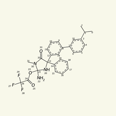 CC(C)c1cccc(-c2cccc(C3(c4ccccc4)NC(N)(OC(=O)C(F)(F)F)N(C)C3=O)c2)c1